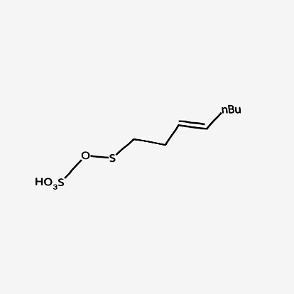 CCCCC=CCCSOS(=O)(=O)O